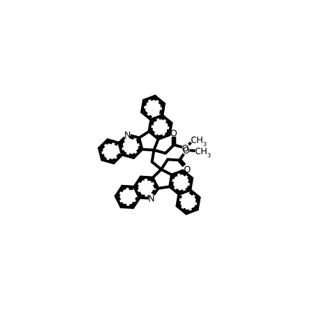 COC(=O)CC1(CC2(CC(=O)OC)c3cc4ccccc4nc3-c3c2ccc2ccccc32)c2cc3ccccc3nc2-c2c1ccc1ccccc21